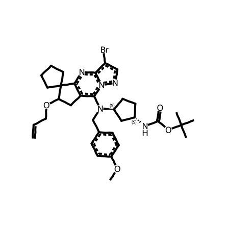 C=CCOC1Cc2c(nc3c(Br)cnn3c2N(Cc2ccc(OC)cc2)[C@H]2CC[C@H](NC(=O)OC(C)(C)C)C2)C12CCCC2